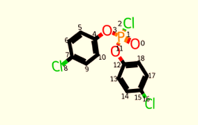 O=P(Cl)(Oc1ccc(Cl)cc1)Oc1ccc(Cl)cc1